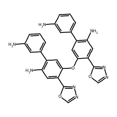 Nc1cccc(-c2cc(Oc3cc(-c4cccc(N)c4)c(N)cc3-c3nnco3)c(-c3nnco3)cc2N)c1